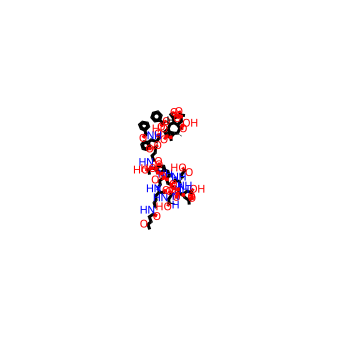 CC(=O)CCC(=O)NCCCCC(NCC(=O)[C@H](CCCCNC(=O)CCC(C)=O)NCC(=O)C(NC(=O)CCC(=O)O[C@@H](C(=O)OC1C[C@@]2(O)[C@@H](OC(=O)c3ccccc3)[C@H]3[C@](C)(C(=O)[C@H](C)C(=C1C)C2(C)C)[C@@H](O)CC1OC[C@]13OC(C)=O)[C@@H](NC(=O)c1ccccc1)c1ccccc1)C(C)O)C(=O)N[C@H](C(=O)NC(CCC(=O)O)C(=O)N[C@@H](CCC(=O)O)C(=O)NC(C=O)Cc1ccc(O)cc1)[C@@H](C)O